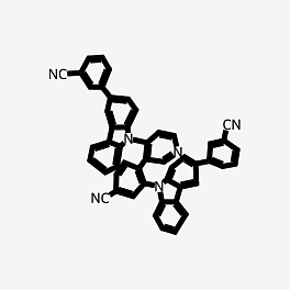 N#Cc1cccc(-c2ccc3c(c2)c2ccccc2n3-c2ccncc2-c2ccc(C#N)cc2-n2c3ccccc3c3cc(-c4cccc(C#N)c4)ccc32)c1